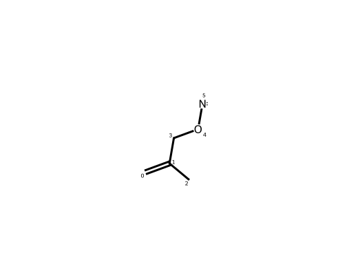 C=C(C)CO[N]